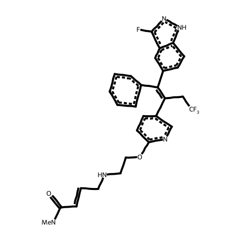 CNC(=O)/C=C/CNCCOc1ccc(/C(CC(F)(F)F)=C(\c2ccccc2)c2ccc3[nH]nc(F)c3c2)cn1